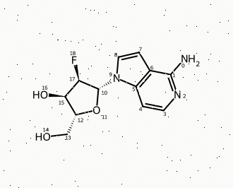 Nc1nccc2c1ccn2[C@@H]1O[C@H](CO)[C@@H](O)[C@H]1F